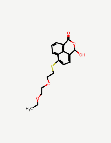 CCOCCOCCSc1ccc2c3c(cccc13)C(=O)OC2O